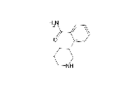 NC(=O)c1ccccc1[C@H]1CCCNC1